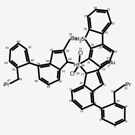 CCC(C)C1=Cc2c(-c3ccccc3CC(C)C)cccc2[CH]1[Hf]([Cl])([Cl])([c]1cccc2c1[SiH2]c1ccccc1-2)[CH]1C(C(C)CC)=Cc2c(-c3ccccc3CC(C)C)cccc21